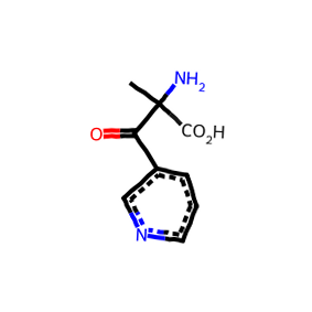 CC(N)(C(=O)O)C(=O)c1cccnc1